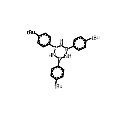 CC(C)(C)c1ccc(B2NB(c3ccc(C(C)(C)C)cc3)NB(c3ccc(C(C)(C)C)cc3)N2)cc1